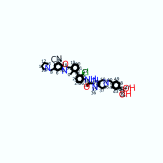 Cc1c(-c2nc3cc(CN4CCCC4)cc(C#N)c3o2)cccc1-c1cccc(NC(=O)c2nc3c(n2C)CCN(Cc2ccc(B(O)O)cc2)C3)c1Cl